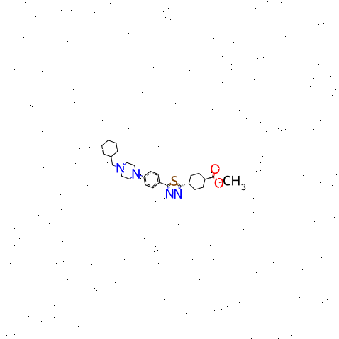 COC(=O)[C@H]1CC[C@H](c2nnc(-c3ccc(N4CCN(CC5CCCCC5)CC4)cc3)s2)CC1